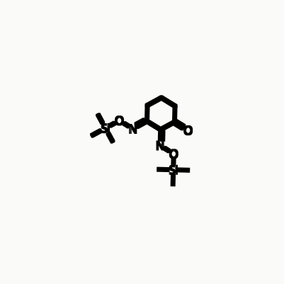 C[Si](C)(C)ON=C1CCCC(=O)C1=NO[Si](C)(C)C